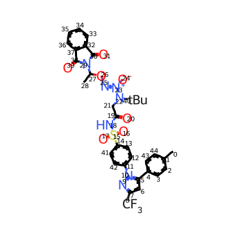 Cc1ccc(-c2cc(C(F)(F)F)nn2-c2ccc(S(=O)(=O)NC(=O)CN(/[N+]([O-])=N/OC(C)N3C(=O)c4ccccc4C3=O)C(C)(C)C)cc2)cc1